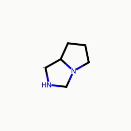 [CH]1NCN2CCCC12